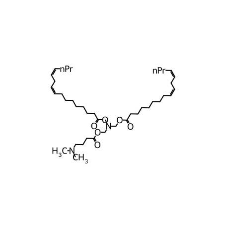 CCC/C=C\C/C=C\CCCCCCCC(=O)OCN(COC(=O)CCCN(C)C)OC(=O)CCCCCCC/C=C\C/C=C\CCC